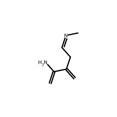 C=C(N)C(=C)C/C=N\C